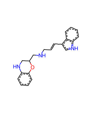 C(=Cc1c[nH]c2ccccc12)CNCC1CNc2ccccc2O1